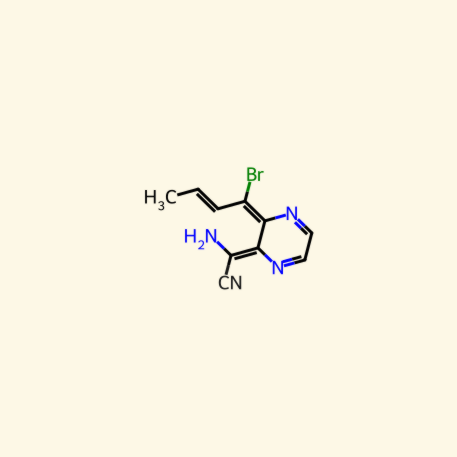 C/C=C/C(Br)=c1/nccn/c1=C(/N)C#N